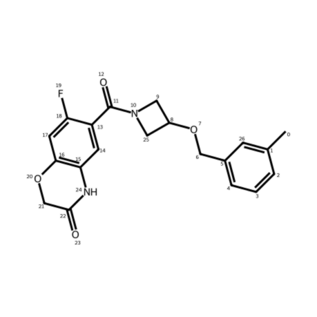 Cc1cccc(COC2CN(C(=O)c3cc4c(cc3F)OCC(=O)N4)C2)c1